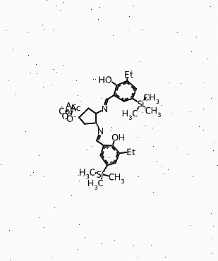 CC(=O)[O-].CC(=O)[O-].CCc1cc([Si](C)(C)C)cc(C=NC2CCCC2N=Cc2cc([Si](C)(C)C)cc(CC)c2O)c1O.[Co+2]